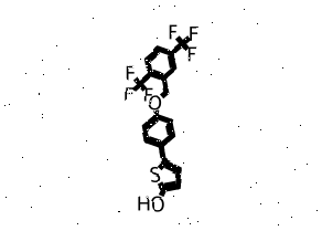 Oc1ccc(-c2ccc(OCc3cc(C(F)(F)F)ccc3C(F)(F)F)cc2)s1